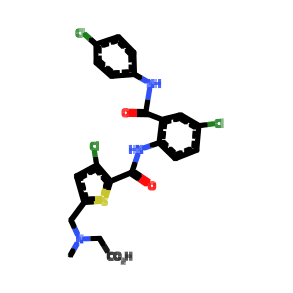 CN(CC(=O)O)Cc1cc(Cl)c(C(=O)Nc2ccc(Cl)cc2C(=O)Nc2ccc(Cl)cc2)s1